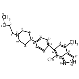 COCCN1CCC(c2ccc(-c3cc(C)c4c[nH]nc4c3Cl)cc2)CC1